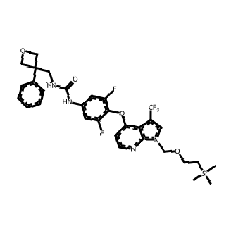 C[Si](C)(C)CCOCn1cc(C(F)(F)F)c2c(Oc3c(F)cc(NC(=O)NCC4(c5ccccc5)COC4)cc3F)ccnc21